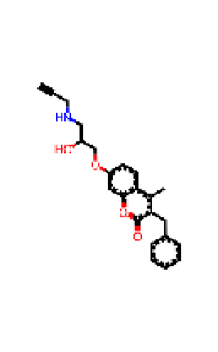 C#CCNCC(O)COc1ccc2c(C)c(Cc3ccccc3)c(=O)oc2c1